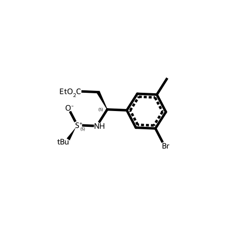 CCOC(=O)C[C@H](N[S@+]([O-])C(C)(C)C)c1cc(C)cc(Br)c1